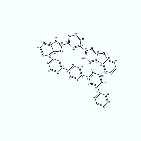 c1ccc(-c2ccc(-c3nc(-c4ccccc4)nc(-c4cccc5sc6cc(-c7cccc(-c8nc9ccccc9s8)c7)ccc6c45)n3)cc2)cc1